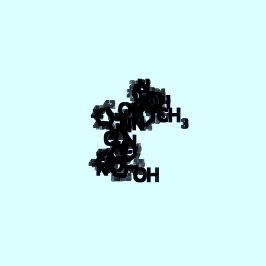 CCC1(O)CCN2CCC1C[C@@H]2[C@H](Oc1nnc(O[C@@H](c2ccnc3ccc(C)cc23)[C@H]2CC3CCN2CCC3(O)CC)c2ccccc12)c1ccnc2ccc(CO)cc12